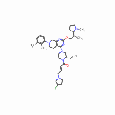 Cc1cccc(N2CCc3c(nc(OC[C@H](C)[C@@H]4CCCN4C)nc3N3CCN(C(=O)/C=C/CN4CCC(F)C4)[C@@H](CC#N)C3)C2)c1C